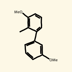 COc1cccc(-c2cccc(OC)c2C)c1